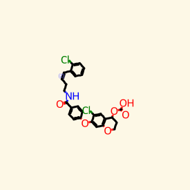 O=C(O)OC1CCOc2cc(Oc3ccc(C(=O)NCC/C=C\c4ccccc4Cl)cc3)c(Cl)cc21